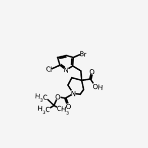 CC(C)(C)OC(=O)N1CCC(Cc2nc(Cl)ccc2Br)(C(=O)O)CC1